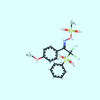 COc1ccc(C(=NOS(C)(=O)=O)C(F)(F)S(=O)(=O)c2ccccc2)cc1